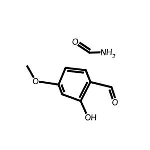 COc1ccc(C=O)c(O)c1.NC=O